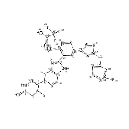 CC1CC(=O)NN=C1c1ccc2[nH]c(-c3cc(-c4cnn(Cc5cccc(F)c5)c4)cnc3N)nc2c1.O=C(O)C(F)(F)F